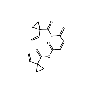 C=CC1(C(=O)OC(=O)/C=C\C(=O)OC(=O)C2(C=C)CC2)CC1